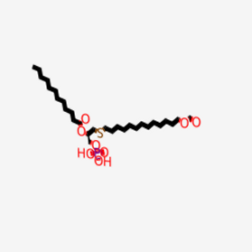 CCCCCCCCCCCC(=O)O[C@H](COP(=O)(O)O)CSCCCCCCCCCCCCCOC=O